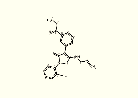 C=CCNC1=C(c2cccc(C(=O)OC)c2)C(=O)C(c2ccccc2F)O1